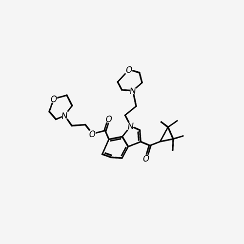 CC1(C)C(C(=O)c2cn(CCN3CCOCC3)c3c(C(=O)OCCN4CCOCC4)cccc23)C1(C)C